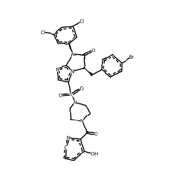 O=C(c1ncccc1O)N1CCN(S(=O)(=O)c2cnc3n2[C@H](Cc2ccc(Br)cc2)C(=O)N3c2cc(Cl)cc(Cl)c2)CC1